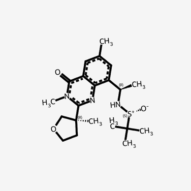 Cc1cc([C@@H](C)N[S@+]([O-])C(C)(C)C)c2nc([C@@]3(C)CCOC3)n(C)c(=O)c2c1